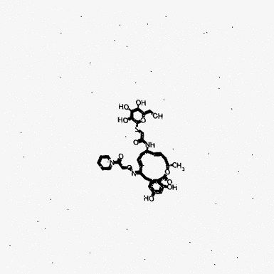 C[C@@H]1C/C=C/[C@H](NC(=O)CS[C@@H]2OC(CO)[C@@H](O)[C@H](O)C2O)C/C=C/C(=N\OCC(=O)N2CCCCC2)Cc2cc(O)cc(O)c2C(=O)O1